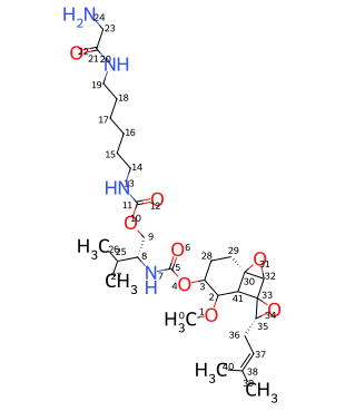 COC1C(OC(=O)N[C@@H](COC(=O)NCCCCCCNC(=O)CN)C(C)C)CC[C@]23OC2C2(O[C@@H]2CC=C(C)C)C13